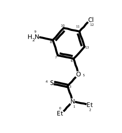 CCN(CC)C(=S)Oc1cc(N)cc(Cl)c1